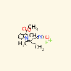 CCCC(CCCN1CC(OC(F)F)C1)[C@@H](C)n1c(C)c(C(=O)OC)c2ccccc21